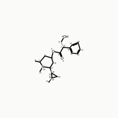 CC1CC(OC(=O)[C@H](CO)c2ccccc2)CC([C@H]2C[C@H]2C)N1C